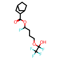 O=C(OC(F)CCCOC(O)(F)C(F)(F)F)C1CC2CCC1C2